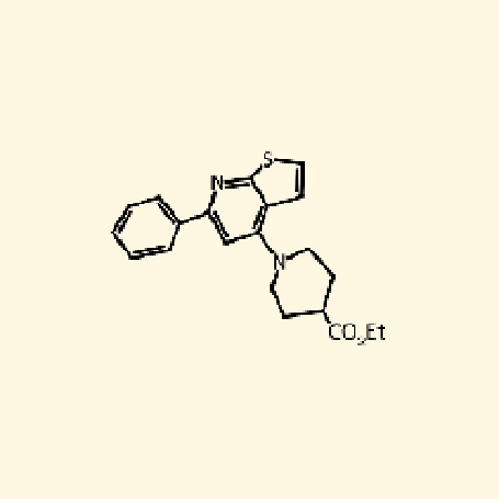 CCOC(=O)C1CCN(c2cc(-c3ccccc3)nc3sccc23)CC1